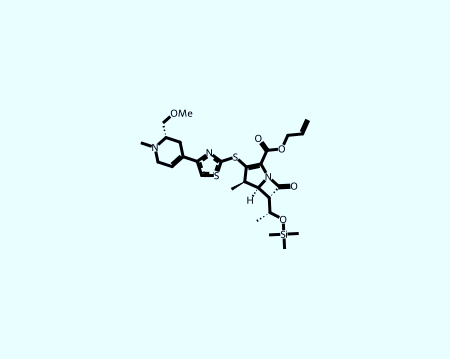 C=CCOC(=O)C1=C(Sc2nc(C3=CCN(C)[C@H](COC)C3)cs2)[C@H](C)[C@@H]2[C@@H]([C@@H](C)O[Si](C)(C)C)C(=O)N12